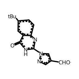 CC(C)(C)c1ccc2nc(-n3cc([C]=O)cn3)[nH]c(=O)c2c1